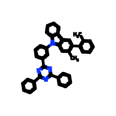 Cc1ccccc1-c1cc2c3ccccc3n(-c3cccc(-c4nc(-c5ccccc5)nc(-c5ccccc5)n4)c3)c2cc1C